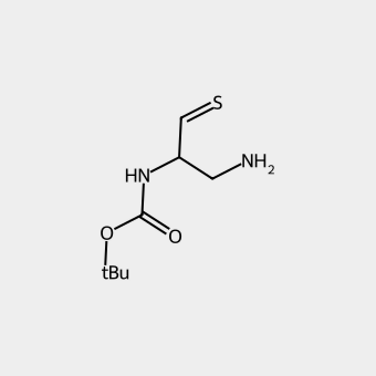 CC(C)(C)OC(=O)NC(C=S)CN